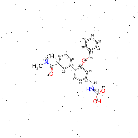 CN(C)C(=O)c1cccc(-c2ccc(CNC(=O)O)cc2OCc2ccccc2)c1